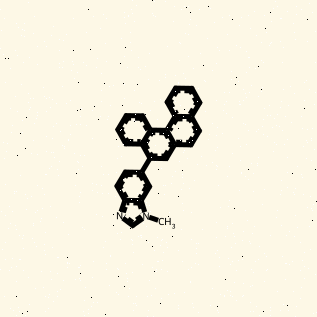 Cn1cnc2ccc(-c3cc4ccc5ccccc5c4c4ccccc34)cc21